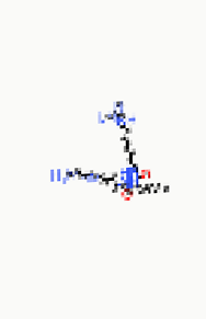 COC(C(=O)NCCCCCCCCNC(=N)N)C(=O)NCCCCNCCCN